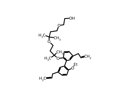 C=CCc1ccc(OCC)c(-c2cc(CC=C)ccc2OC(C)(C)CCOC(C)(C)CCOCCO)c1